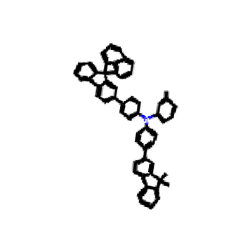 Cc1cccc(N(c2ccc(-c3ccc4c(c3)C(C)(C)c3ccccc3-4)cc2)c2ccc(-c3ccc4c(c3)C3(c5ccccc5-4)c4cccc5cccc3c45)cc2)c1